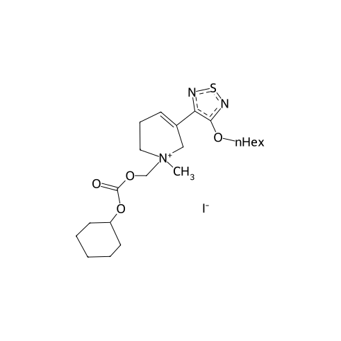 CCCCCCOc1nsnc1C1=CCC[N+](C)(COC(=O)OC2CCCCC2)C1.[I-]